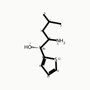 CC(C)CC(N)[C@@H](O)c1cccs1